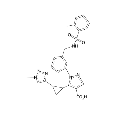 Cc1ccccc1S(=O)(=O)NCc1cccc(-n2ncc(C(=O)O)c2C2CC2c2cn(C)nn2)c1